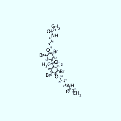 C=CC(=O)NCCCCOc1c(Br)cc(C(C)(C)c2cc(Br)c(OCCCCNC(=O)C=C)c(Br)c2)cc1Br